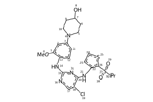 COc1cc(N2CCC(O)CC2)ccc1Nc1ncc(Cl)c(Nc2ccsc2S(=O)(=O)C(C)C)n1